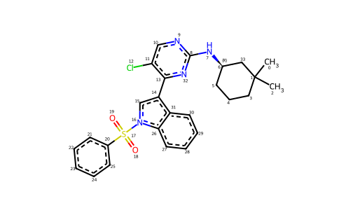 CC1(C)CCC[C@@H](Nc2ncc(Cl)c(-c3cn(S(=O)(=O)c4ccccc4)c4ccccc34)n2)C1